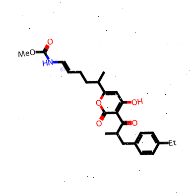 CCc1ccc(CC(C)C(=O)c2c(O)cc(C(C)CC/C=C/NC(=O)OC)oc2=O)cc1